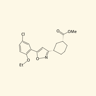 CCOc1ccc(Cl)cc1-c1cc([C@H]2CCC[C@@H](C(=O)OC)C2)no1